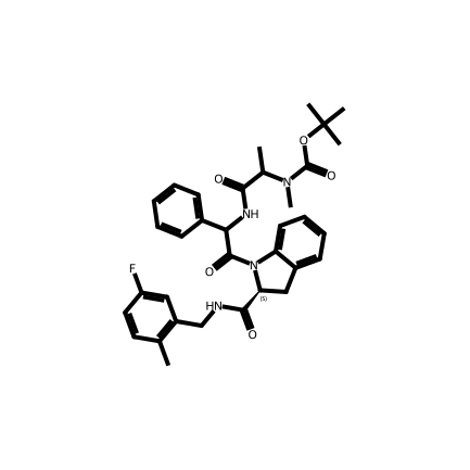 Cc1ccc(F)cc1CNC(=O)[C@@H]1Cc2ccccc2N1C(=O)C(NC(=O)C(C)N(C)C(=O)OC(C)(C)C)c1ccccc1